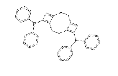 C1=C2CCC3=CC(P(c4ccccc4)c4ccccc4)=C3CCC2=C1P(c1ccccc1)c1ccccc1